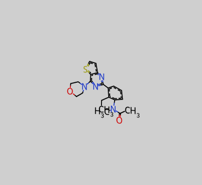 CCc1c(-c2nc(N3CCOCC3)c3sccc3n2)cccc1N(C)C(C)=O